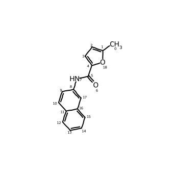 Cc1ccc(C(=O)Nc2ccc3ccccc3c2)o1